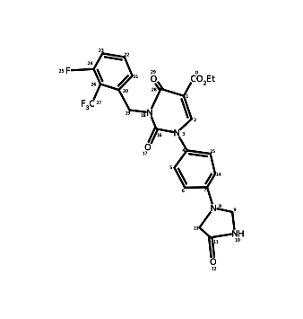 CCOC(=O)c1cn(-c2ccc(N3CNC(=O)C3)cc2)c(=O)n(Cc2cccc(F)c2C(F)(F)F)c1=O